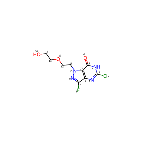 O=c1[nH]c(Cl)nc2c(F)nn(CCOCCO)c12